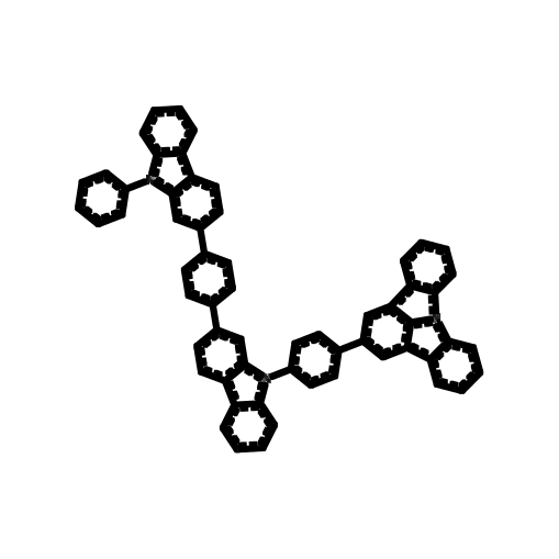 c1ccc(-n2c3ccccc3c3ccc(-c4ccc(-c5ccc6c7ccccc7n(-c7ccc(-c8cc9c%10ccccc%10n%10c%11ccccc%11c(c8)c9%10)cc7)c6c5)cc4)cc32)cc1